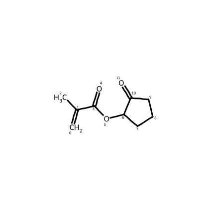 C=C(C)C(=O)OC1CCCC1=O